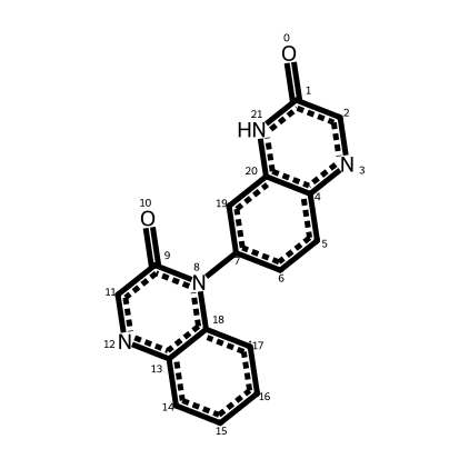 O=c1cnc2ccc(-n3c(=O)cnc4ccc[c]c43)cc2[nH]1